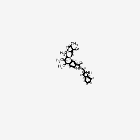 Cc1nn(C)c(CN2C(=O)C(C)C(C)c3ccc(C(=O)NCc4cc5ccccc5[nH]4)cc32)c1Br